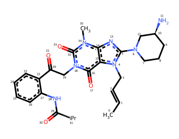 CC=CCn1c(N2CCC[C@H](N)C2)nc2c1c(=O)n(CC(=O)c1ccccc1NC(=O)C(C)C)c(=O)n2C